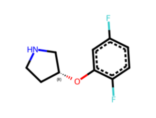 Fc1ccc(F)c(O[C@@H]2CCNC2)c1